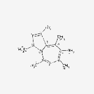 CC1=CC(C)N2C(C)=CC(C)=C(N)C(C)=C12